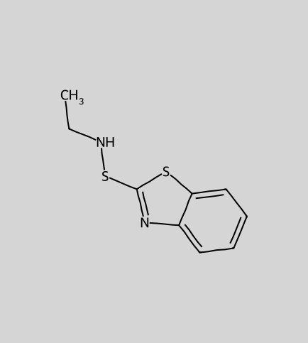 CCNSc1nc2ccccc2s1